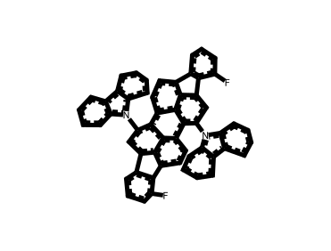 Fc1cccc2c1-c1ccc3c4c(-n5c6ccccc6c6ccccc65)cc5c6c(ccc(c7c(-n8c9ccccc9c9ccccc98)cc-2c1c37)c64)-c1cccc(F)c1-5